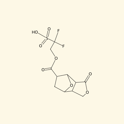 O=C(OCC(F)(F)S(=O)(=O)O)C1CC2OC1C1C(=O)OCC21